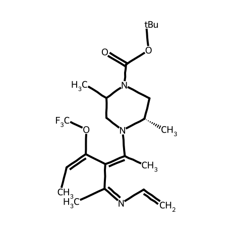 C=C\N=C(C)/C(=C(\C)N1CC(C)N(C(=O)OC(C)(C)C)C[C@@H]1C)C(=C\C)/OC(F)(F)F